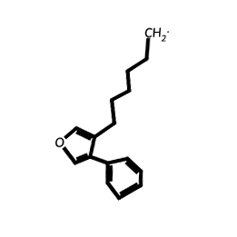 [CH2]CCCCCc1cocc1-c1ccccc1